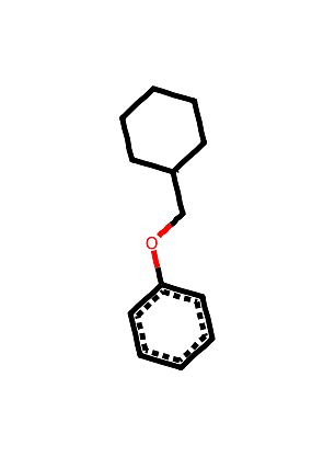 c1ccc(OC[C]2CCCCC2)cc1